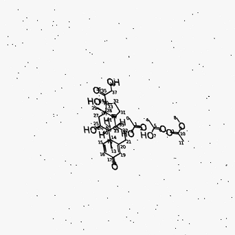 CC(=O)O.CC(=O)O.COC(C)=O.C[C@]12C=CC(=O)C=C1CC[C@@H]1[C@@H]2[C@@H](O)C[C@@]2(C)[C@H]1CC[C@]2(O)C(=O)CO